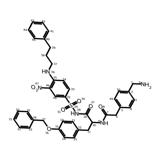 NCc1ccc(CC(=O)NC(Cc2ccc(OCc3ccccc3)cc2)C(=O)NS(=O)(=O)c2ccc(NCCCc3ccccc3)c([N+](=O)[O-])c2)cc1